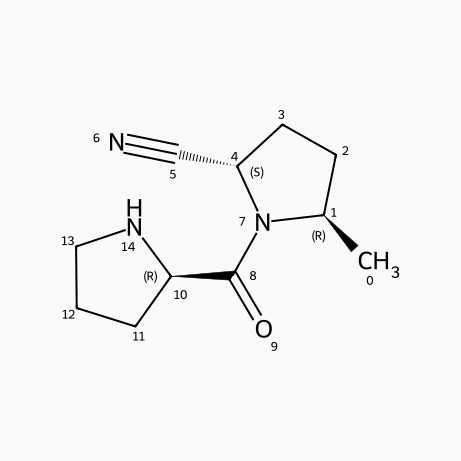 C[C@@H]1CC[C@@H](C#N)N1C(=O)[C@H]1CCCN1